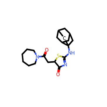 O=C1N=C(NC23CC4CC(CC2C4)C3)SC1CC(=O)N1CCCCCC1